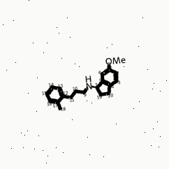 COc1ccc2c(c1)[C@H](NCCCc1ccccc1C)CC2